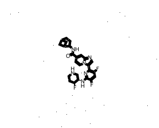 O=C(NC1CCC2CC1C2)c1ccn2c(-c3nc(N[C@H]4CNCC[C@@H]4F)c(F)cc3F)cnc2c1